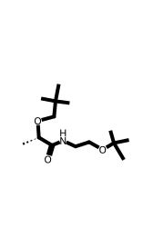 C[C@H](OCC(C)(C)C)C(=O)NCCOC(C)(C)C